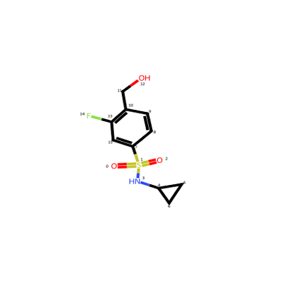 O=S(=O)(NC1CC1)c1ccc(CO)c(F)c1